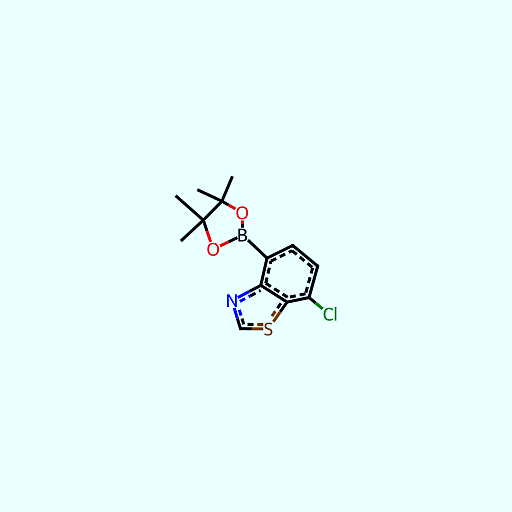 CC1(C)OB(c2ccc(Cl)c3scnc23)OC1(C)C